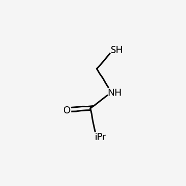 CC(C)C(=O)NCS